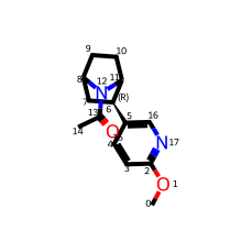 COc1ccc([C@H]2CC3CCC2N3C(C)=O)cn1